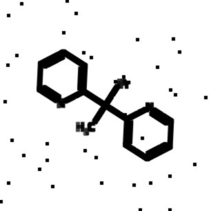 CC(C)C(C)(c1ccccn1)c1ccccn1